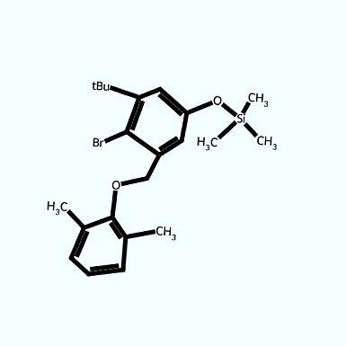 Cc1cccc(C)c1OCc1cc(O[Si](C)(C)C)cc(C(C)(C)C)c1Br